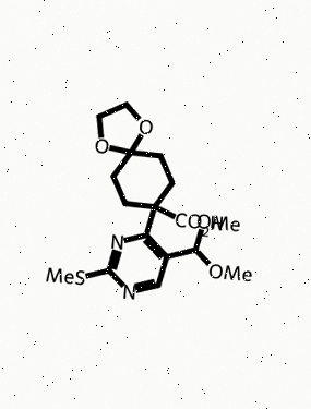 COC(OC)c1cnc(SC)nc1C1(C(=O)O)CCC2(CC1)OCCO2